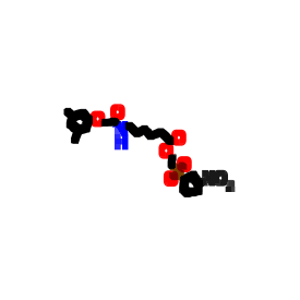 Cc1cc(C)cc(OCC(=O)NCCCCCC(=O)OCCS(=O)(=O)c2cccc([N+](=O)[O-])c2)c1